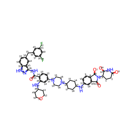 O=C1CCC(N2C(=O)c3ccc(NC4CCC(N5CCN(c6ccc(C(=O)Nc7n[nH]c8ccc(Cc9cc(F)cc(F)c9)cc78)c(NC7CCOCC7)c6)CC5)CC4)cc3C2=O)C(=O)N1